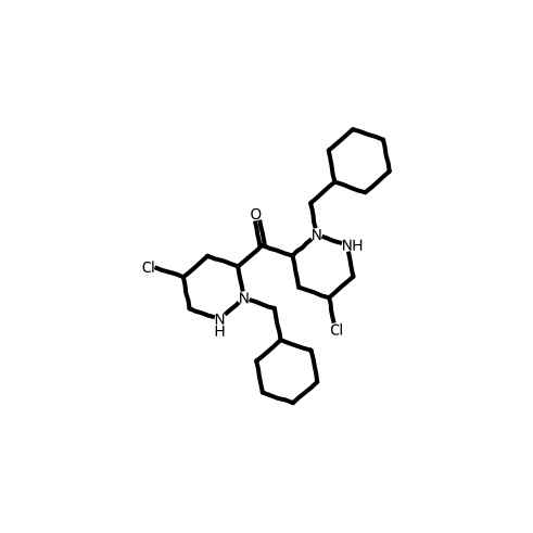 O=C(C1CC(Cl)CNN1CC1CCCCC1)C1CC(Cl)CNN1CC1CCCCC1